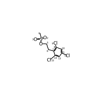 CS(=O)(=O)OCCc1c(Cl)cc(Cl)cc1Cl